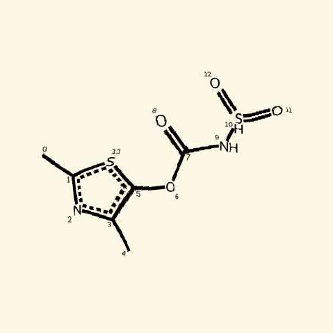 Cc1nc(C)c(OC(=O)N[SH](=O)=O)s1